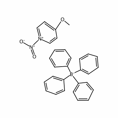 COc1cc[n+]([N+](=O)[O-])cc1.c1ccc([B-](c2ccccc2)(c2ccccc2)c2ccccc2)cc1